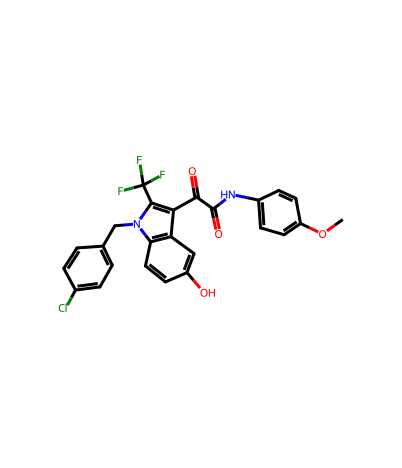 COc1ccc(NC(=O)C(=O)c2c(C(F)(F)F)n(Cc3ccc(Cl)cc3)c3ccc(O)cc23)cc1